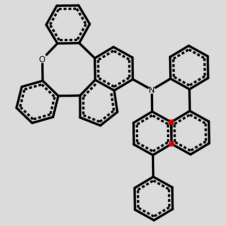 c1ccc(-c2ccc(N(c3ccccc3-c3ccccc3)c3ccc4c5c(cccc35)-c3ccccc3Oc3ccccc3-4)cc2)cc1